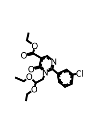 CCOC(=O)c1cnc(-c2cccc(Cl)c2)n(CC(OCC)OCC)c1=O